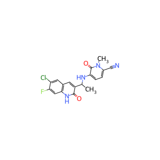 CC(Nc1ccc(C#N)n(C)c1=O)c1cc2cc(Cl)c(F)cc2[nH]c1=O